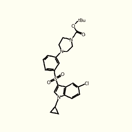 CC(C)(C)OC(=O)N1CCN(c2cccc(S(=O)(=O)c3cn(C4CC4)c4ccc(Cl)cc34)c2)CC1